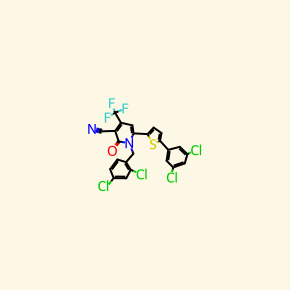 N#Cc1c(C(F)(F)F)cc(-c2ccc(-c3cc(Cl)cc(Cl)c3)s2)n(Cc2ccc(Cl)cc2Cl)c1=O